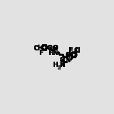 NC(=O)CN(Cc1ccc(Cl)c(F)c1)C(=O)CCCCNC(=O)COc1ccc(Cl)c(F)c1